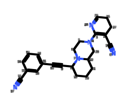 N#CC1=C(N2CCN3C(C#Cc4cccc(C#N)c4)CCCC3C2)N=CCC1